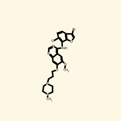 COc1cc2c([AsH]c3c(Cl)ccc4c(Br)coc34)ncnc2cc1OCCCN1CCN(C)CC1